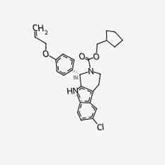 C=CCOc1ccc([C@H]2c3[nH]c4ccc(Cl)cc4c3CCN2C(=O)OCC2CCCC2)cc1